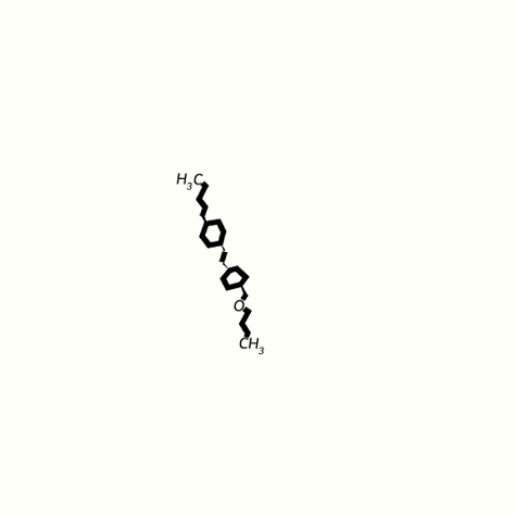 CCCCC[C@H]1CC[C@H](CC[C@H]2CC[C@H](COCCCC)CC2)CC1